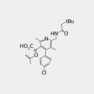 C=C(C)O[C@H](C(=O)O)c1c(C)nc(CNC(=O)CC(C)(C)C)c(C)c1-c1ccc(Cl)cc1